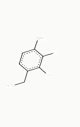 NCc1ccc(N)c(Cl)c1S